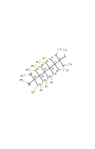 FCC(CF)(CF)C(CF)(CF)C(CF)(CF)C(CF)(CF)C(CF)(CF)C(CF)(CF)CF